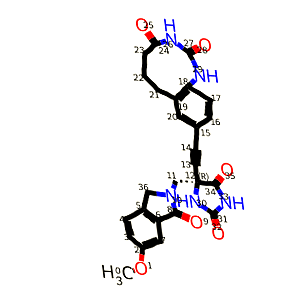 COc1ccc2c(c1)C(=O)N(C[C@@]1(C#Cc3ccc4c(c3)CCCC(=O)NC(=O)N4)NC(=O)NC1=O)C2